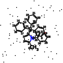 Cc1ccc([Si](c2ccccc2)(c2ccccc2)c2ccccc2)n1-c1ccccc1